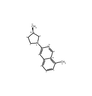 Cc1cccc2cc(N3CC[C@@H](C)C3)ncc12